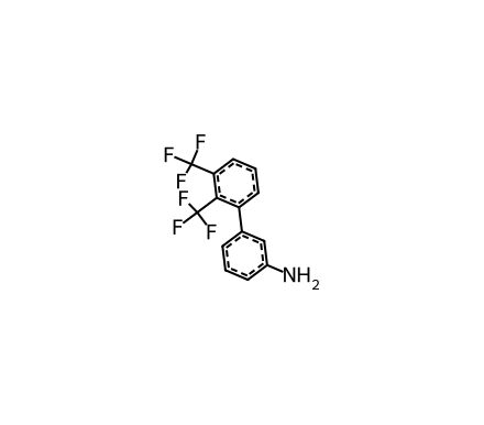 Nc1cccc(-c2cccc(C(F)(F)F)c2C(F)(F)F)c1